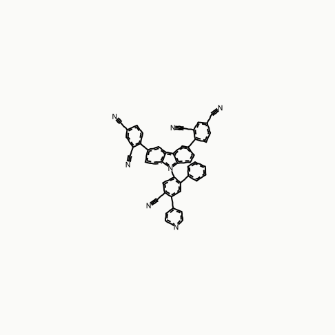 N#Cc1ccc(-c2ccc3c(c2)c2cc(-c4ccc(C#N)cc4C#N)ccc2n3-c2cc(C#N)c(-c3ccncc3)cc2-c2ccccc2)c(C#N)c1